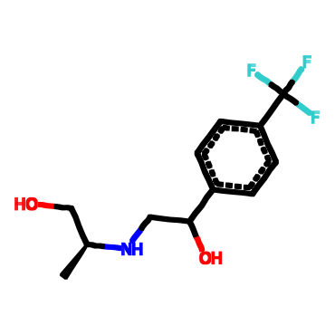 C[C@@H](CO)NCC(O)c1ccc(C(F)(F)F)cc1